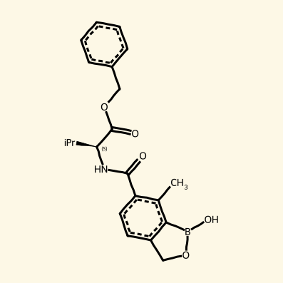 Cc1c(C(=O)N[C@H](C(=O)OCc2ccccc2)C(C)C)ccc2c1B(O)OC2